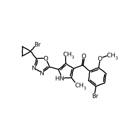 COc1ccc(Br)cc1C(=O)c1c(C)[nH]c(-c2nnc(C3(Br)CC3)o2)c1C